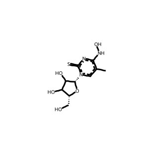 Cc1cn([C@@H]2O[C@H](CO)C(O)C2O)c(=S)nc1NO